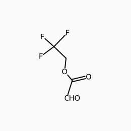 O=CC(=O)OCC(F)(F)F